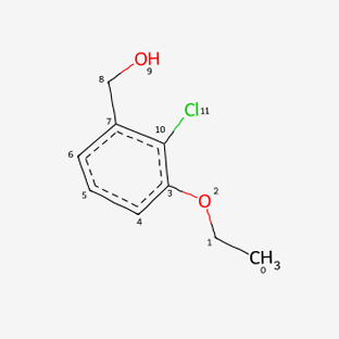 CCOc1cccc(CO)c1Cl